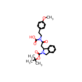 COc1ccc(CCN(C(=O)O)C(=O)CC2c3ccccc3CN2C(=O)OC(C)(C)C)cc1